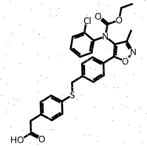 CCOC(=O)N(c1ccccc1Cl)c1c(C)noc1-c1ccc(CSc2ccc(CC(=O)O)cc2)cc1